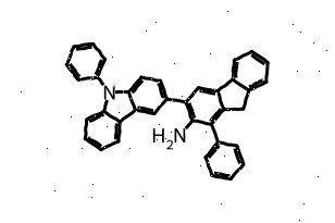 Nc1c(-c2ccc3c(c2)c2ccccc2n3-c2ccccc2)cc2c(c1-c1ccccc1)Cc1ccccc1-2